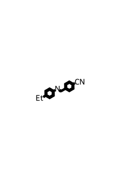 CCc1ccc(N=Cc2ccc(C#N)cc2)cc1